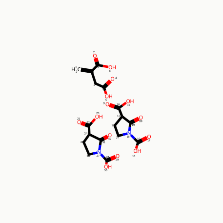 C=C(CC(=O)O)C(=O)O.O=C(O)C1CCN(C(=O)O)C1=O.O=C(O)C1CCN(C(=O)O)C1=O